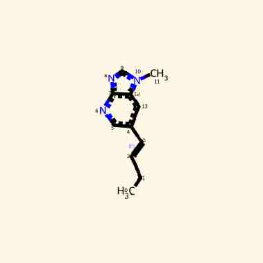 CC/C=C/c1cnc2ncn(C)c2c1